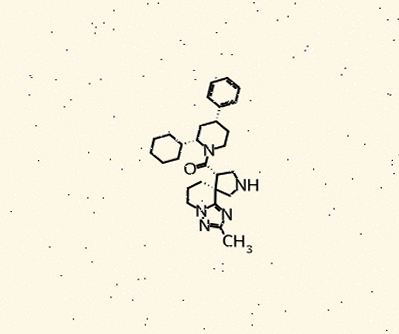 Cc1nc2n(n1)CCC[C@]21CNC[C@H]1C(=O)N1CC[C@@H](c2ccccc2)C[C@H]1C1CCCCC1